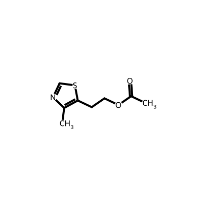 CC(=O)OCCc1scnc1C